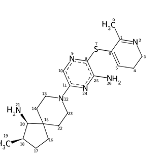 CC1=NCCC=C1Sc1ncc(N2CCC3(CC[C@@H](C)[C@H]3N)CC2)nc1N